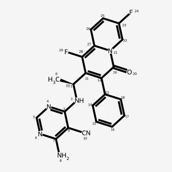 C[C@H](Nc1ncnc(N)c1C#N)c1c(-c2ccccc2)c(=O)n2cc(F)ccc2c1F